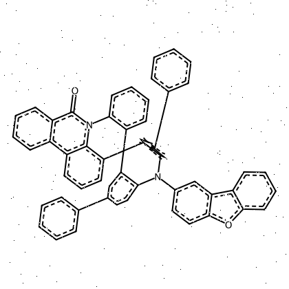 O=c1c2ccccc2c2cccc3c2n1-c1ccccc1C31c2cc(-c3ccccc3)ccc2N(c2ccc3oc4ccccc4c3c2)c2ccc(-c3ccccc3)cc21